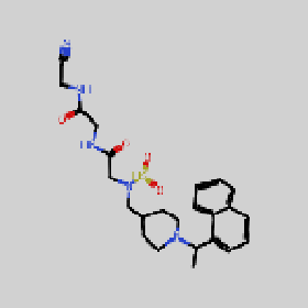 CC(c1cccc2ccccc12)N1CCC(CN(CC(=O)NCC(=O)NCC#N)[SH](=O)=O)CC1